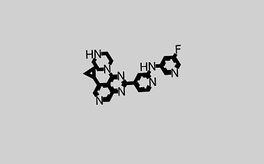 Fc1cncc(Nc2cc(-c3nc(N4CCNCC4)c4c(C5CC5)cncc4n3)ccn2)c1